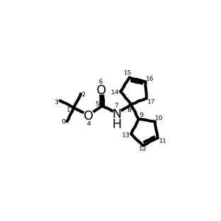 CC(C)(C)OC(=O)NC1(C2CC=CC2)CC=CC1